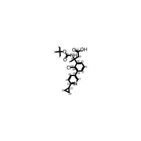 CC(C)(C)OC(=O)NC(C)(CC(=O)O)c1cccc(-c2ccc(C3CC3)nc2)c1Cl